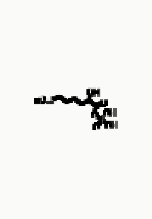 CCCCCCCCCCCCC(O)C(=O)OP(=O)(O)O